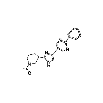 CC(=O)N1CCCC(c2nc(-c3cnc(-c4ccccc4)nc3)c[nH]2)C1